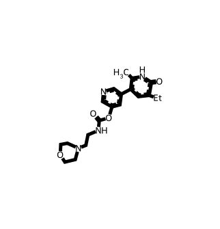 CCc1cc(-c2cncc(OC(=O)NCCN3CCOCC3)c2)c(C)[nH]c1=O